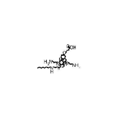 CCCCCCCCNCCC[C@@H](C)[C@H]1CC[C@H]2C3[C@H](OCCCN)CC4C[C@H](OCCCC(=O)O)CCC4(C)[C@H]3C[C@H](OCCCN)C12C